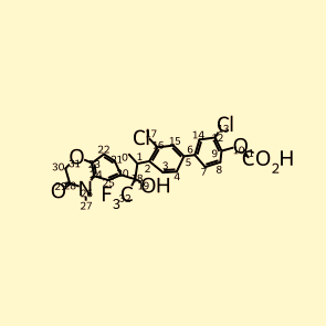 CC(c1ccc(-c2ccc(OC(=O)O)c(Cl)c2)cc1Cl)C(O)(c1ccc2c(c1)N(C)C(=O)CO2)C(F)(F)F